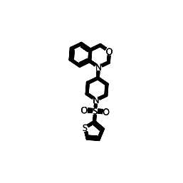 O=S(=O)(c1cccs1)N1CCC(N2COCc3ccccc32)CC1